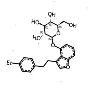 CCc1ccc(CCc2coc3cccc(O[C@@H]4O[C@H](CO)[C@@H](O)[C@H](O)[C@H]4O)c23)cc1